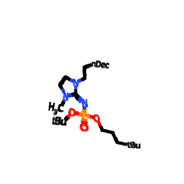 CCCCCCCCCCCCN1CCN(C)C1=NP(=O)(OCCCC(C)(C)C)OC(C)(C)C